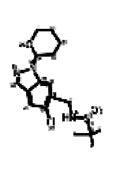 CC(C)(C)[S+]([O-])NCc1cc2c(cnn2C2CCCCO2)cc1Cl